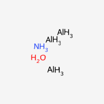 N.O.[AlH3].[AlH3].[AlH3]